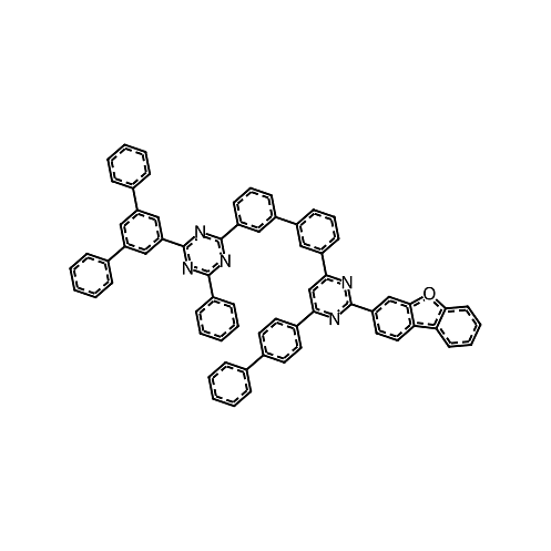 c1ccc(-c2ccc(-c3cc(-c4cccc(-c5cccc(-c6nc(-c7ccccc7)nc(-c7cc(-c8ccccc8)cc(-c8ccccc8)c7)n6)c5)c4)nc(-c4ccc5c(c4)oc4ccccc45)n3)cc2)cc1